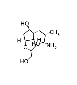 C[C@@H](C[C@@H]1[C@H]2CC(CO)O[C@H]2C[C@H]1O)[C@H](N)O